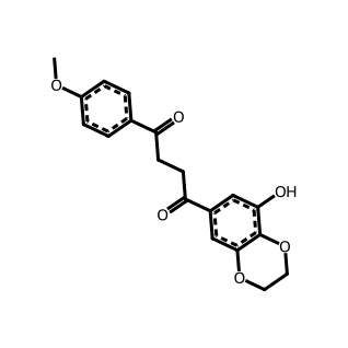 COc1ccc(C(=O)CCC(=O)c2cc(O)c3c(c2)OCCO3)cc1